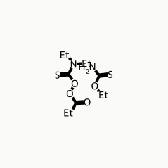 CCC(=O)OOC(=S)N(CC)CC.CCOC(N)=S